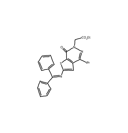 CCOC(=O)Cn1nc(C(C)C)c2cc(N=C(c3ccccc3)c3ccccc3)sc2c1=O